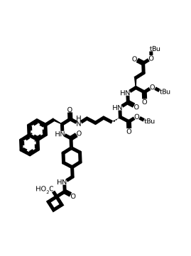 CC(C)(C)OC(=O)CC[C@H](NC(=O)N[C@@H](CCCCNC(=O)[C@H](Cc1ccc2ccccc2c1)NC(=O)C1CCC(CNC(=O)C2(C(=O)O)CCC2)CC1)C(=O)OC(C)(C)C)C(=O)OC(C)(C)C